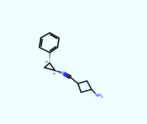 NC1CC(C#[N+][C@H]2C[C@@H]2c2ccccc2)C1